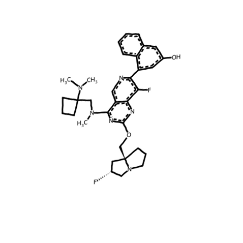 CN(CC1(N(C)C)CCC1)c1nc(OC[C@@]23CCCN2C[C@H](F)C3)nc2c(F)c(-c3cc(O)cc4ccccc34)ncc12